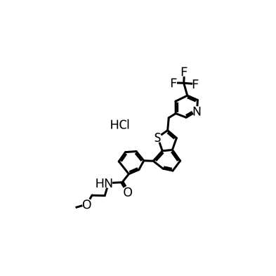 COCCNC(=O)c1cccc(-c2cccc3cc(Cc4cncc(C(F)(F)F)c4)sc23)c1.Cl